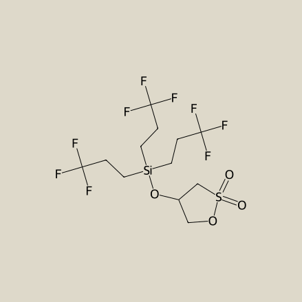 O=S1(=O)CC(O[Si](CCC(F)(F)F)(CCC(F)(F)F)CCC(F)(F)F)CO1